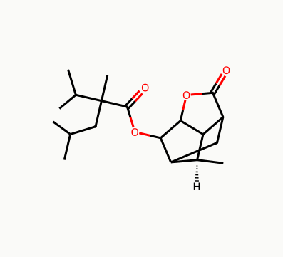 CC(C)CC(C)(C(=O)OC1C2OC(=O)C3CC1[C@H](C)C32)C(C)C